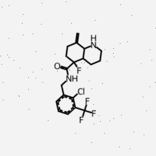 C=C1CCC(F)(C(=O)NCc2cccc(C(F)(F)F)c2Cl)C2CCCNC12